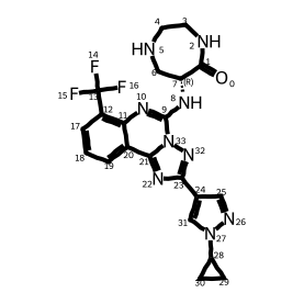 O=C1NCCNC[C@H]1Nc1nc2c(C(F)(F)F)cccc2c2nc(-c3cnn(C4CC4)c3)nn12